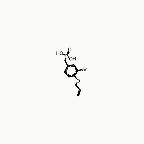 C=CCOc1ccc(CP(=O)(O)O)cc1C(C)=O